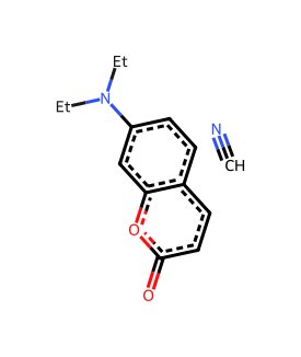 C#N.CCN(CC)c1ccc2ccc(=O)oc2c1